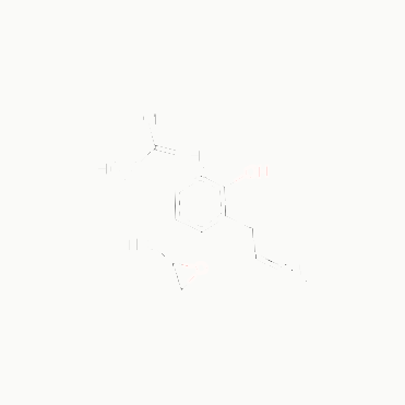 C=C(C)C(=O)O.C=CCc1ccccc1O.CC1CO1